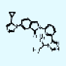 CC(C)n1cnnc1-c1cccc(N2Cc3ccc(-n4cncc4C4CC4)cc3C2=O)n1